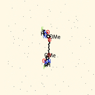 COc1cc2c(cc1OCCCCCCCCCOc1cc3c(cc1OC)C(=O)N1C[C@@H](F)C[C@H]1C=N3)N=C[C@@H]1C[C@H](F)CN1C2=O